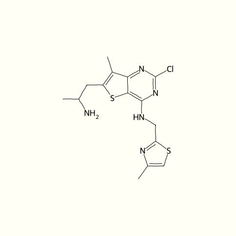 Cc1csc(CNc2nc(Cl)nc3c(C)c(CC(C)N)sc23)n1